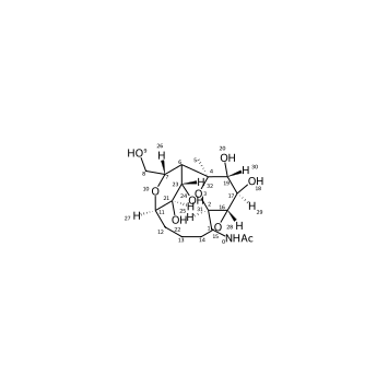 CC(=O)NC[C@H]1O[C@@]2(C)C3[C@@H](CO)O[C@H](CCCO[C@H]1[C@H](O)[C@H]2O)[C@H](O)[C@H]3O